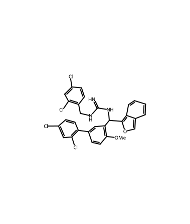 COc1ccc(-c2ccc(Cl)cc2Cl)cc1C(NC(=N)NCc1ccc(Cl)cc1Cl)c1occ2ccccc12